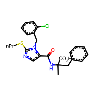 CCCSc1ncc(C(=O)NC(C)(Cc2ccccc2)C(=O)O)n1Cc1ccccc1Cl